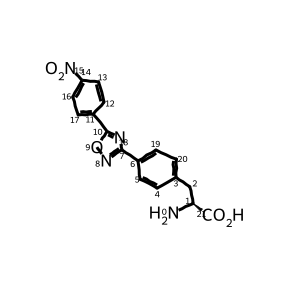 N[C@@H](Cc1ccc(-c2noc(-c3ccc([N+](=O)[O-])cc3)n2)cc1)C(=O)O